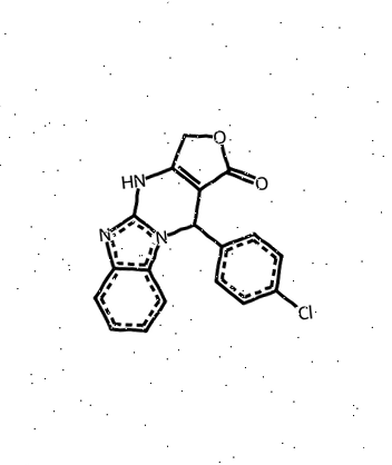 O=C1OCC2=C1C(c1ccc(Cl)cc1)n1c(nc3ccccc31)N2